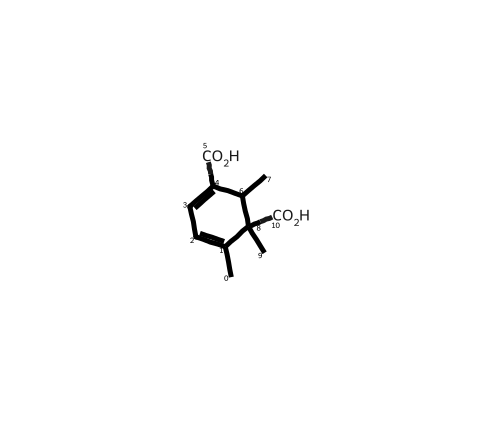 CC1=CC=C(C(=O)O)C(C)C1(C)C(=O)O